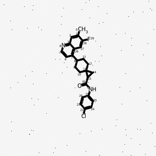 Cc1cc2nccc(C3CCC4(CC3)CC4C(=O)Nc3ccc(Cl)cc3)c2cc1F